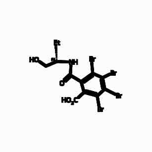 CC[C@@H](CO)NC(=O)c1c(Br)c(Br)c(Br)c(Br)c1C(=O)O